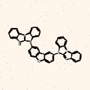 c1ccc2c(c1)NC1N(c3ccc4oc5ccc(-n6c7ccccc7n7c8ccccc8nc67)cc5c4c3)c3ccccc3N21